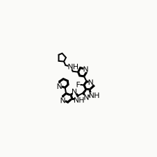 Fc1c(-c2cncc(CNCC3CCCC3)c2)ncc2[nH]nc(-c3nc4c(-c5ccccn5)cncc4[nH]3)c12